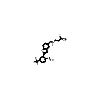 COc1ccc(C(F)(F)F)cc1-c1cc2cc(CNCCC(=O)O)ccc2s1